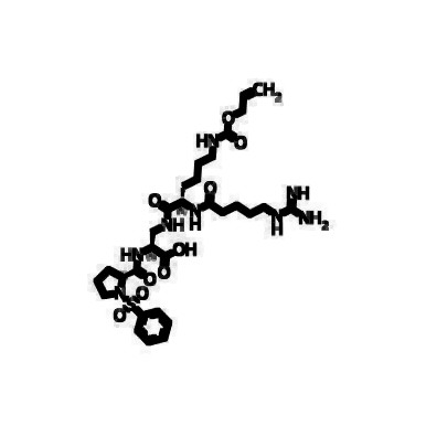 C=CCOC(=O)NCCCC[C@H](NC(=O)CCCCNC(=N)N)C(=O)NC[C@H](NC(=O)[C@@H]1CCCN1S(=O)(=O)c1ccccc1)C(=O)O